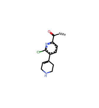 CNC(=O)c1ccc(C2=CCNCC2)c(Cl)n1